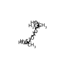 CC(C)(CO)CCOCCCOCCC(C)(C)CO